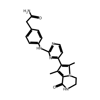 Cc1c(-c2ccnc(Nc3ccc(CC(N)=O)cc3)n2)c(C)n2c1C(=O)NCC2